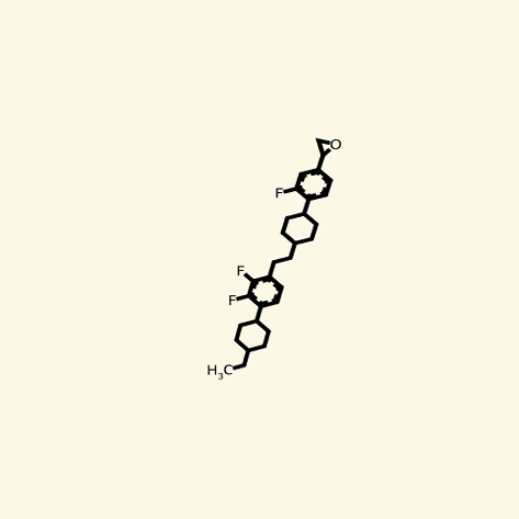 CCC1CCC(c2ccc(CCC3CCC(c4ccc(C5CO5)cc4F)CC3)c(F)c2F)CC1